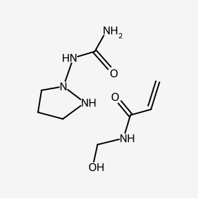 C=CC(=O)NCO.NC(=O)NN1CCCN1